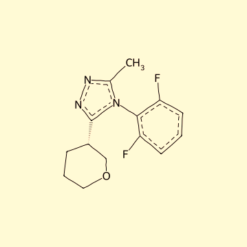 Cc1nnc([C@H]2CCCOC2)n1-c1c(F)cccc1F